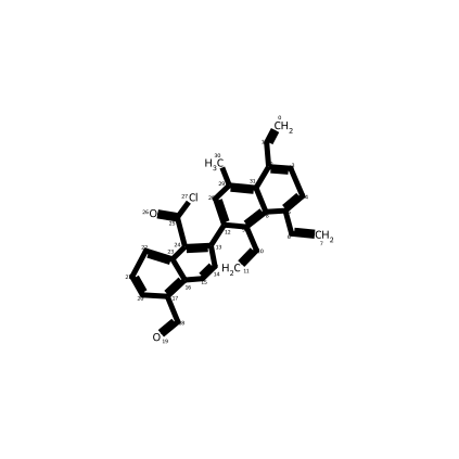 C=Cc1ccc(C=C)c2c(C=C)c(-c3ccc4c(C=O)cccc4c3C(=O)Cl)cc(C)c12